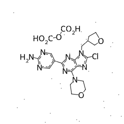 Nc1ncc(-c2nc(N3CCOCC3)c3nc(Cl)n(CC4CCOC4)c3n2)cn1.O=C(O)OC(=O)O